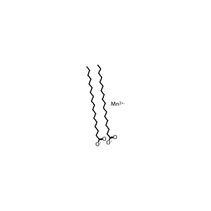 CCCCCCCCCCCCCCCCCC(=O)[O-].CCCCCCCCCCCCCCCCCC(=O)[O-].[Mn+2]